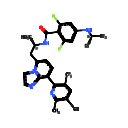 CC[C@@H](Nc1cc(F)c(C(=O)N[C@@H](Cc2ccc(-c3nc(C)c(C#N)cc3C(F)(F)F)c3nccn23)C(=O)O)c(F)c1)C(F)(F)F